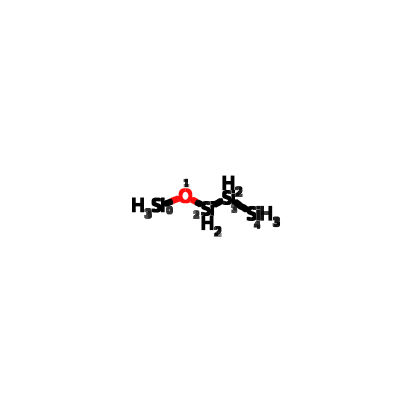 [SiH3]O[SiH2][SiH2][SiH3]